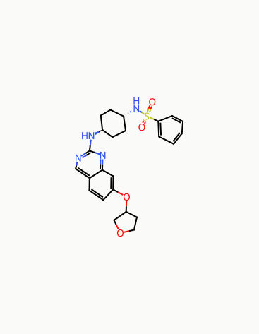 O=S(=O)(N[C@H]1CC[C@H](Nc2ncc3ccc(OC4CCOC4)cc3n2)CC1)c1ccccc1